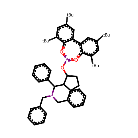 CC(C)(C)c1cc(C(C)(C)C)c2op(OC3CCCC3C(c3ccccc3)P(Cc3ccccc3)Cc3ccccc3)oc3c(C(C)(C)C)cc(C(C)(C)C)cc3c2c1